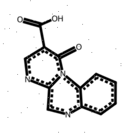 O=C(O)c1cnc2cnc3ccccc3n2c1=O